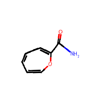 NC(=O)C1=CC=CC=CO1